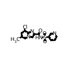 Cc1cc(Cl)c2nc(C(=O)NS(=O)(=O)c3cccnc3)cn2c1